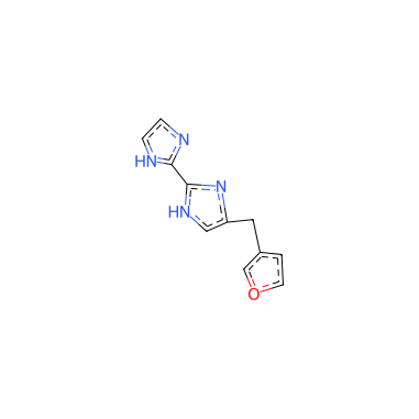 c1c[nH]c(-c2nc(Cc3ccoc3)c[nH]2)n1